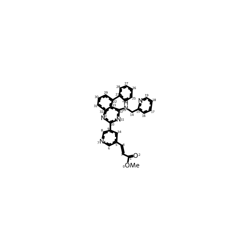 COC(=O)C=Cc1cncc(-c2nc(NCc3ccccn3)c3c(-c4ccccc4)cccc3n2)c1